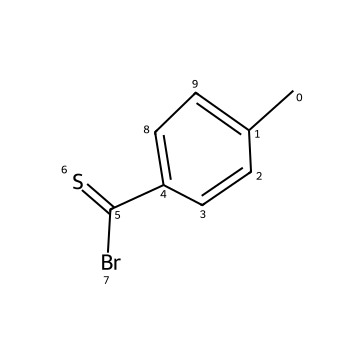 Cc1ccc(C(=S)Br)cc1